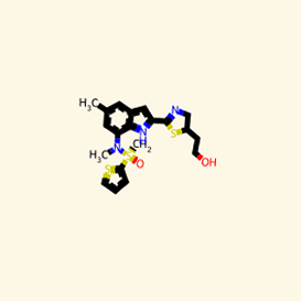 C=S(=O)(c1cccs1)N(C)c1cc(C)cc2cc(C3=NCC(CCO)S3)[nH]c12